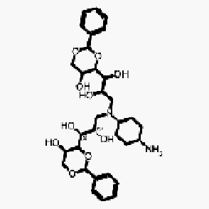 N[C@H]1CC[C@@H](N(CC(O)C(O)C2OC(c3ccccc3)OCC2O)C[C@H](O)[C@H](O)C2OC(c3ccccc3)OCC2O)CC1